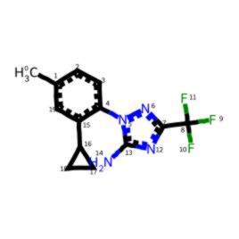 Cc1ccc(-n2nc(C(F)(F)F)nc2N)c(C2CC2)c1